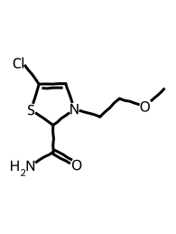 COCCN1C=C(Cl)SC1C(N)=O